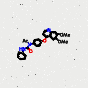 COc1cc2nccc(Oc3ccc(N(C(C)=O)C(=O)Nc4ccccc4)cc3)c2cc1OC